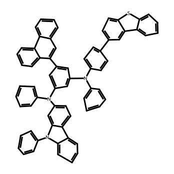 c1ccc(N(c2ccc(-c3ccc4sc5ccccc5c4c3)cc2)c2cc(-c3cc4ccccc4c4ccccc34)cc(N(c3ccccc3)c3ccc4c5ccccc5n(-c5ccccc5)c4c3)c2)cc1